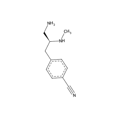 CN[C@H](CN)Cc1ccc(C#N)cc1